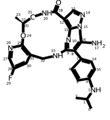 CC(C)Nc1ccc(-c2c3nc4c(cnn4c2N)C(=O)NC[C@H](C)Oc2ncc(F)cc2CN3)cc1